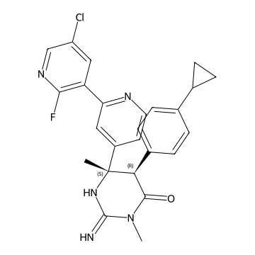 CN1C(=N)N[C@](C)(c2ccnc(-c3cc(Cl)cnc3F)c2)[C@@H](c2ccc(C3CC3)cc2)C1=O